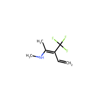 C=C/C(=C(/C)NC)C(F)(F)F